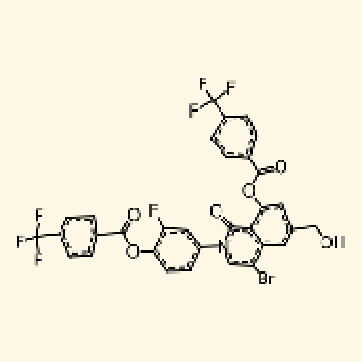 O=C(Oc1ccc(-n2cc(Br)c3cc(CO)cc(OC(=O)c4ccc(C(F)(F)F)cc4)c3c2=O)cc1F)c1ccc(C(F)(F)F)cc1